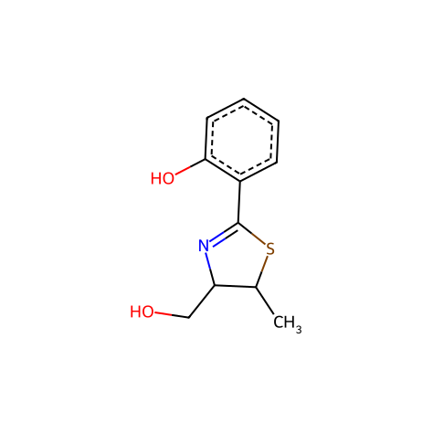 CC1SC(c2ccccc2O)=NC1CO